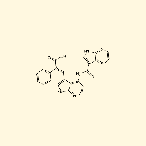 O=C(O)/C(=C/c1c[nH]c2nccc(NC(=O)c3c[nH]c4ccccc34)c12)c1ccccc1